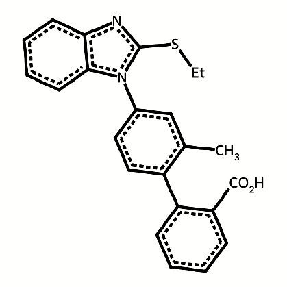 CCSc1nc2ccccc2n1-c1ccc(-c2ccccc2C(=O)O)c(C)c1